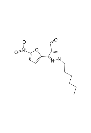 CCCCCCn1cc(C=O)c(-c2ccc([N+](=O)[O-])o2)n1